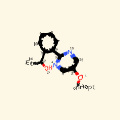 CCCCCCCOc1cnc(-c2ccccc2C(O)CC)nc1